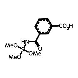 CO[Si](NC(=O)c1cccc(C(=O)O)c1)(OC)OC